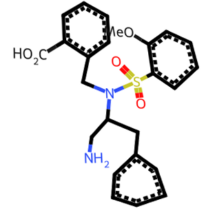 COc1ccccc1S(=O)(=O)N(Cc1ccccc1C(=O)O)C(CN)Cc1ccccc1